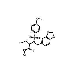 COc1ccc(S(=O)(=O)N(Cc2ccc3c(c2)OCO3)C(CC(C)C)C(=O)NO)cc1